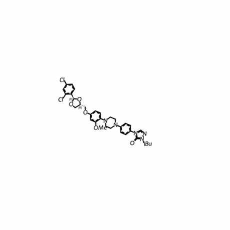 CCC(C)n1ncn(-c2ccc(N3CCN(c4ccc(OC[C@@H]5CO[C@@H](c6ccc(Cl)cc6Cl)O5)cc4OC)CC3)cc2)c1=O